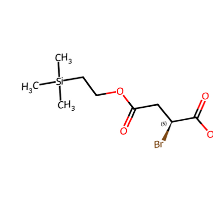 C[Si](C)(C)CCOC(=O)C[C@H](Br)C(=O)O